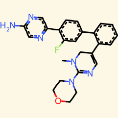 CN1CC(c2ccccc2-c2ccc(-c3cnc(N)cn3)c(F)c2)=CN=C1N1CCOCC1